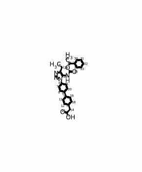 CCc1nnn(-c2ccc(-c3ccc(CC(=O)O)cc3)cc2)c1NC(=O)O[C@H](C)c1ccccc1